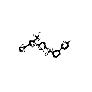 O=C(Nc1ccc(-n2nc(-c3nccs3)cc2C(F)(F)F)nn1)c1cccc(-c2ccc(F)nc2)c1